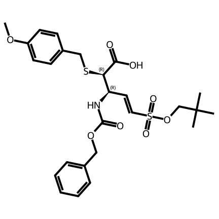 COc1ccc(CS[C@@H](C(=O)O)[C@@H](C=CS(=O)(=O)OCC(C)(C)C)NC(=O)OCc2ccccc2)cc1